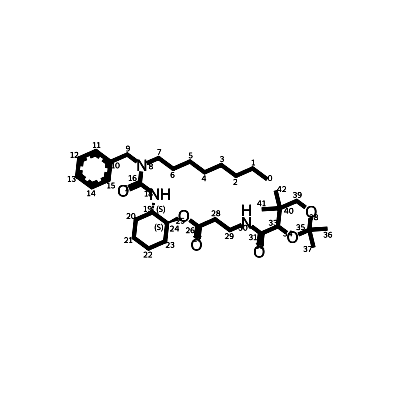 CCCCCCCCN(Cc1ccccc1)C(=O)N[C@H]1CCCC[C@@H]1OC(=O)CCNC(=O)C1OC(C)(C)OCC1(C)C